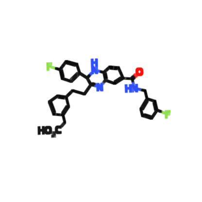 O=C(O)Cc1cccc(CCC2=Nc3cc(C(=O)NCc4cccc(F)c4)ccc3NC2c2ccc(F)cc2)c1